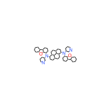 c1cncc(N(c2ccc3ccc4c(N(c5cccnc5)c5cccc6c5oc5ccccc56)ccc5ccc2c3c54)c2cccc3c2oc2ccccc23)c1